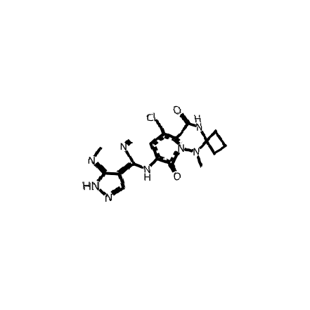 C=N/C(Nc1cc(Cl)c2n(c1=O)N(C)C1(CCC1)NC2=O)=C1/C=NN/C1=N/C